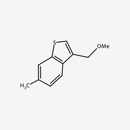 [CH2]OCc1csc2cc(C)ccc12